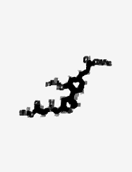 CCCCOc1cc(/C=C/C(=O)OC)ccc1-c1csc(CNCC(=O)OC(C)(C)C)c1